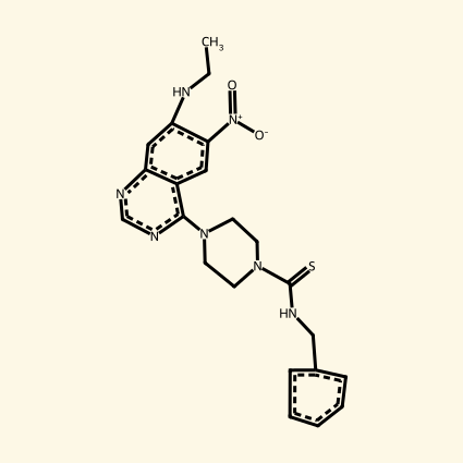 CCNc1cc2ncnc(N3CCN(C(=S)NCc4ccccc4)CC3)c2cc1[N+](=O)[O-]